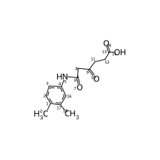 Cc1ccc(NC(=O)CC(=O)CCC(=O)O)cc1C